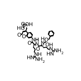 N=C(N)NCCC[C@H](NC(=O)OCc1ccccc1)C(=O)N[C@@H](CCCNC(=N)N)C(=O)Nc1ccc2c(CP(=O)(O)O)cc(=O)oc2c1